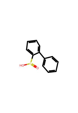 O=S(O)c1ccccc1-c1ccccc1